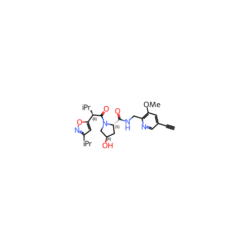 C#Cc1cnc(CNC(=O)[C@@H]2C[C@@H](O)CN2C(=O)[C@@H](c2cc(C(C)C)no2)C(C)C)c(OC)c1